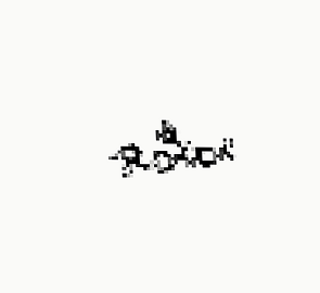 CC(=O)N1CCc2nc(N3CCN(Cc4cccn(C)c4=O)CC3)c(-c3cnn(C)c3)nc2C1